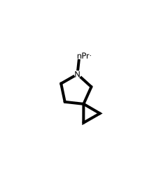 CC[CH]N1CCC2(CC2)C1